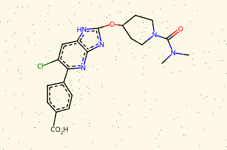 CN(C)C(=O)N1CCC(Oc2nc3nc(-c4ccc(C(=O)O)cc4)c(Cl)cc3[nH]2)CC1